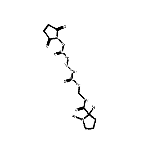 [2H]C1(C(=O)NC[13CH2][13C](=O)[15NH][13CH2][13CH2][13C](=O)ON2C(=O)CCC2=O)CCCN1C(C)C